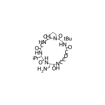 CC(C)[C@H]1NC(=O)CNC(=O)[C@@H]2CCCN2C(=O)[C@H](C(C)(C)C)NC(=O)COCCNC(=O)[C@@H](CN)NC1=O